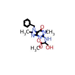 COC(=O)C(CO)Nc1nc2nc(C)n(Cc3ccccc3)c2c(=O)n1C